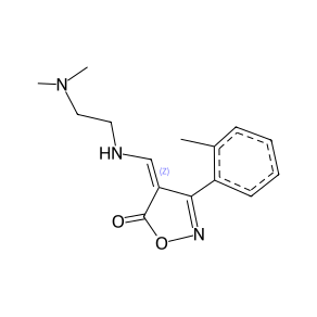 Cc1ccccc1C1=NOC(=O)/C1=C\NCCN(C)C